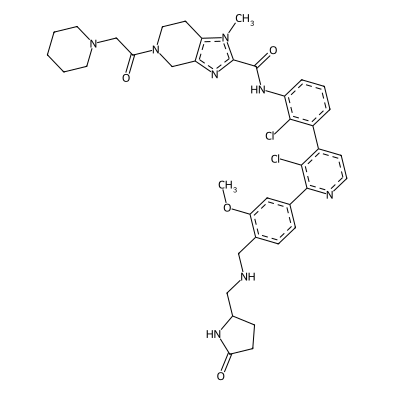 COc1cc(-c2nccc(-c3cccc(NC(=O)c4nc5c(n4C)CCN(C(=O)CN4CCCCC4)C5)c3Cl)c2Cl)ccc1CNCC1CCC(=O)N1